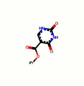 CC(C)OC(=O)c1c[nH]c(=O)[nH]c1=O